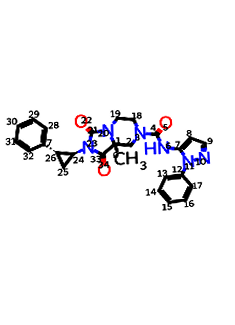 CC12CN(C(=O)Nc3ccnn3-c3ccccc3)CCN1C(=O)N([C@H]1C[C@@H]1c1ccccc1)C2=O